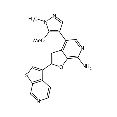 COc1c(-c2cnc(N)c3oc(-c4csc5cnccc45)cc23)cnn1C